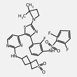 CC1(C)CCN1c1nc(-c2cccc(NS(=O)(=O)c3c(F)cccc3F)c2F)c(-c2ccnc(NC3CC4(C3)CS(=O)(=O)C4)n2)s1